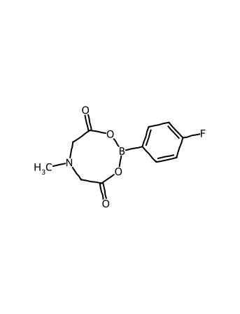 CN1CC(=O)OB(c2ccc(F)cc2)OC(=O)C1